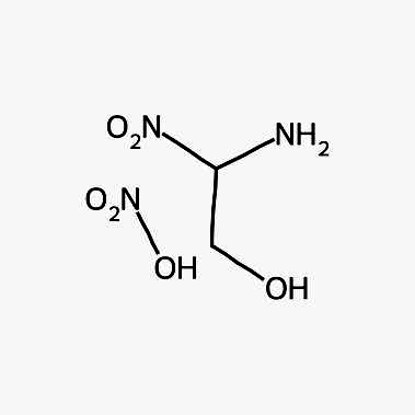 NC(CO)[N+](=O)[O-].O=[N+]([O-])O